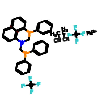 CC#N.CC#N.F[B-](F)(F)F.F[B-](F)(F)F.[Pd+2].c1ccc(N(CP(c2ccccc2)c2ccccc2)CP(c2ccccc2)c2ccccc2)cc1